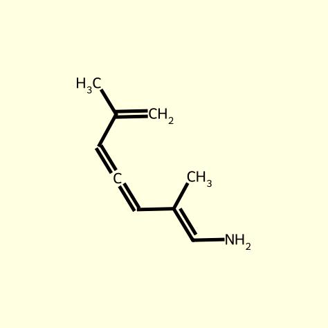 C=C(C)C=C=C/C(C)=C/N